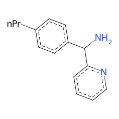 CCCc1ccc(C(N)c2ccccn2)cc1